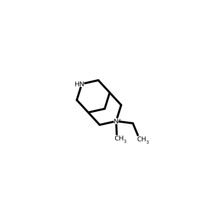 CC[N+]1(C)CC2CNCC(C2)C1